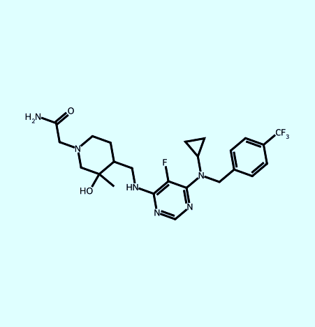 CC1(O)CN(CC(N)=O)CCC1CNc1ncnc(N(Cc2ccc(C(F)(F)F)cc2)C2CC2)c1F